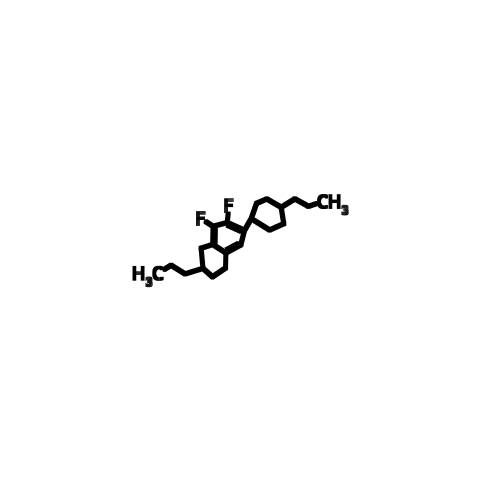 CCCC1CCC(c2cc3c(c(F)c2F)CC(CCC)CC3)CC1